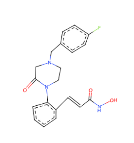 O=C(C=Cc1ccccc1N1CCN(Cc2ccc(F)cc2)CC1=O)NO